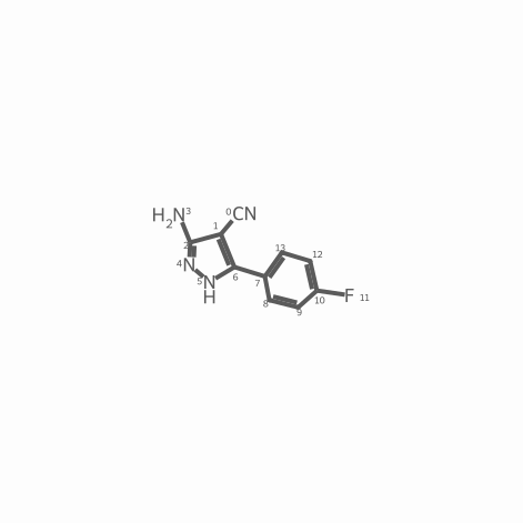 N#Cc1c(N)n[nH]c1-c1ccc(F)cc1